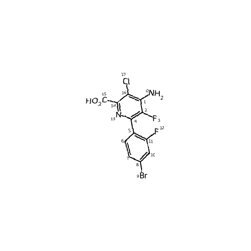 Nc1c(F)c(-c2ccc(Br)cc2F)nc(C(=O)O)c1Cl